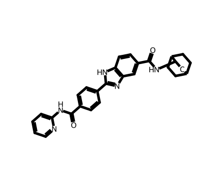 O=C(Nc1ccccn1)c1ccc(-c2nc3cc(C(=O)NC4CC5CCC4CC5)ccc3[nH]2)cc1